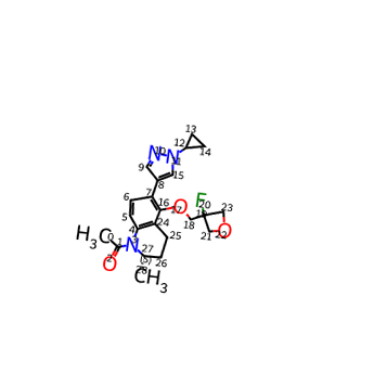 CC(=O)N1c2ccc(-c3cnn(C4CC4)c3)c(OCC3(F)COC3)c2CC[C@@H]1C